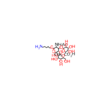 CC(=O)N[C@H]1C(O[C@@H]2OC(C(=O)O)[C@@H](O)C(O)[C@@H]2O)[C@H](O[C@@H]2OC(CO)[C@@H](O)C(O)[C@@H]2O)[C@H](C)O[C@H]1OCCCCCN